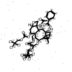 CC(=O)O[C@@]12CO[C@@H]1C[C@H](OC(=O)OCC(Cl)(Cl)Cl)[C@@]1(COC(=O)OCC(Cl)(Cl)Cl)C(=O)[C@H](OC(=O)OCC(Cl)(Cl)Cl)C3=C(C)CC[C@@](O)([C@@H](OC(=O)c4ccccc4)[C@H]21)C3(C)C